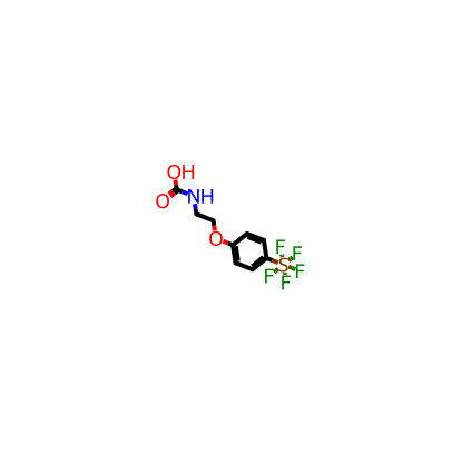 O=C(O)NCCOc1ccc(S(F)(F)(F)(F)F)cc1